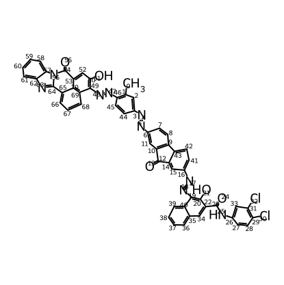 Cc1cc(N=Nc2ccc3c(c2)C(=O)c2cc(N=Nc4c(O)c(C(=O)Nc5ccc(Cl)c(Cl)c5)cc5ccccc45)ccc2-3)ccc1N=Nc1c(O)cc2c(=O)n3c4ccccc4nc3c3cccc1c23